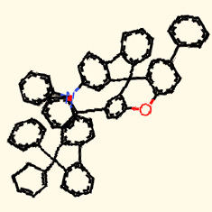 C1=CCCC(C2(c3ccccc3)c3ccccc3-c3ccc(N(c4ccccc4)c4ccc5c(c4)C4(c6cc(-c7ccccc7)ccc6Oc6ccc(-c7ccccc7)cc64)c4ccccc4-5)cc32)=C1